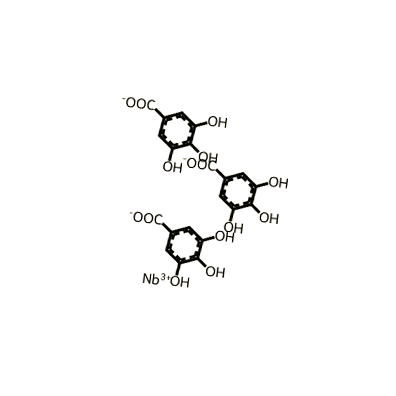 O=C([O-])c1cc(O)c(O)c(O)c1.O=C([O-])c1cc(O)c(O)c(O)c1.O=C([O-])c1cc(O)c(O)c(O)c1.[Nb+3]